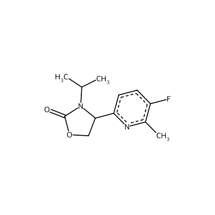 Cc1nc(C2COC(=O)N2C(C)C)ccc1F